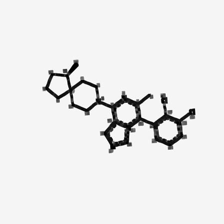 Cc1nc(N2CCC3(CCC[C@H]3C)CC2)c2cncn2c1-c1cccc(Cl)c1Cl